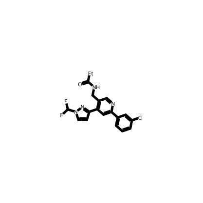 CCC(=O)NCc1cnc(-c2cccc(Cl)c2)cc1-c1ccn(C(F)F)n1